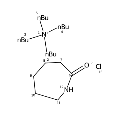 CCCC[N+](CCCC)(CCCC)CCCC.O=C1CCCCCN1.[Cl-]